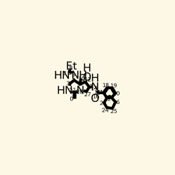 C=C1NC[C@H](NC(=N)CC)C2(C)C(O)C(NC(=O)c3cccc4c3CCCC4)CN12